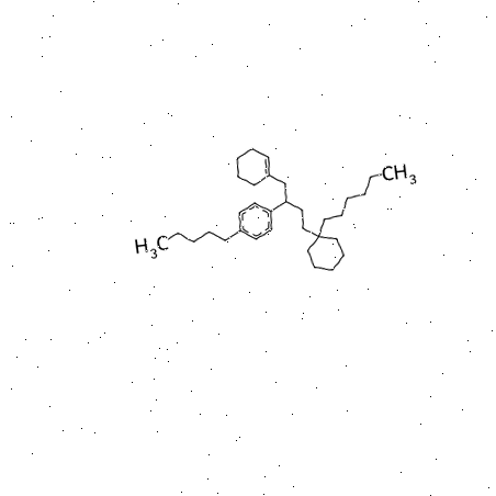 CCCCCCC1(CCC(CC2=CCCCC2)c2ccc(CCCCC)cc2)CCCCC1